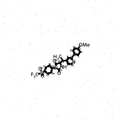 COc1ccc(-c2cc(C(C)C3NC(=O)N(c4ccc(S(=O)(=O)C(F)(F)F)cc4)C3=O)ccn2)cc1